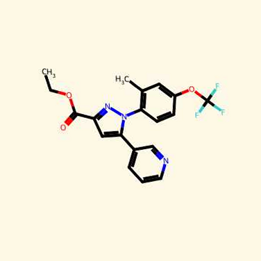 CCOC(=O)c1cc(-c2cccnc2)n(-c2ccc(OC(F)(F)F)cc2C)n1